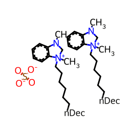 CCCCCCCCCCCCCCCC[N+]1(C)CN(C)c2ccccc21.CCCCCCCCCCCCCCCC[N+]1(C)CN(C)c2ccccc21.O=S(=O)([O-])[O-]